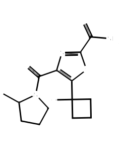 CC1CCCN1C(=O)c1nc(C(N)=O)sc1C1(O)CCC1